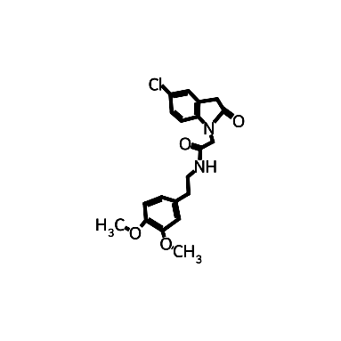 COc1ccc(CCNC(=O)CN2C(=O)Cc3cc(Cl)ccc32)cc1OC